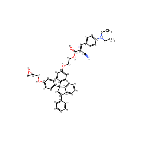 CCN(CC)c1ccc(/C=C(\C#N)C(=O)OCCOc2ccc(C3(c4ccc(OCC5CO5)cc4)C=C(c4ccccc4)c4ccccc43)cc2)cc1